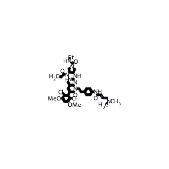 C=CC(=O)NC1CN(C(=O)NCC)CC1Nc1ncc2cc(-c3c(Cl)c(OC)cc(OC)c3Cl)c(=O)n(CCc3ccc(NC(=O)/C=C/CN(C)C)cc3)c2n1